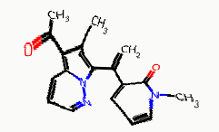 C=C(c1cccn(C)c1=O)c1c(C)c(C(C)=O)c2cccnn12